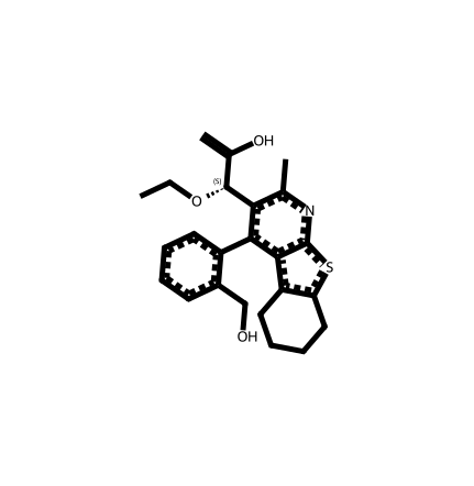 C=C(O)[C@@H](OCC)c1c(C)nc2sc3c(c2c1-c1ccccc1CO)CCCC3